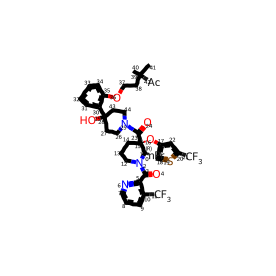 CCC[C@H]1N(C(=O)c2ncccc2C(F)(F)F)CCC[C@@]1(Oc1csc(C(F)(F)F)c1)C(=O)N1CCC(O)(c2ccccc2OCCC(C)(C)C(C)=O)CC1